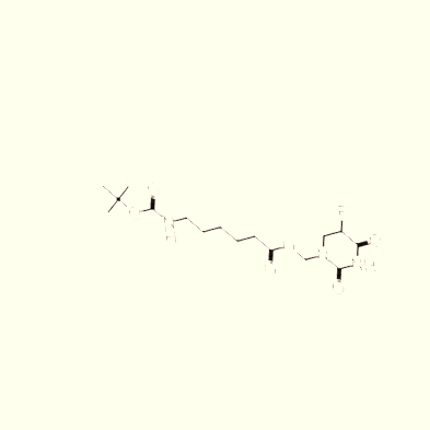 CC(C)(C)OC(=O)NCCCCCC(=O)OCN1CC(F)C(=O)NC1=O